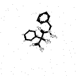 CN(Cc1ccccc1)C(=O)C(C)(C(=O)O)C1CCCCC1